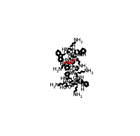 NCCCC[C@@H](NC(=O)[C@@H](Cc1c[nH]c2ccccc12)NC(=O)[C@@H](CCCCN)NC(=O)[C@@H](Cc1c[nH]c2ccccc12)NC(=O)[C@@H](CCCCN)NC(=O)[C@@H]1CCCN1C(=O)[C@H]1CCCN1C(=O)[C@@H](CCCCN)NC(=O)[C@@H](Cc1c[nH]c2ccccc12)NC(=O)[C@@H](CCCCN)NC(=O)[C@@H](Cc1c[nH]c2ccccc12)NC(=O)[C@@H](CCCCN)NC(=O)OCC1c2ccccc2-c2ccccc21)C(=O)O